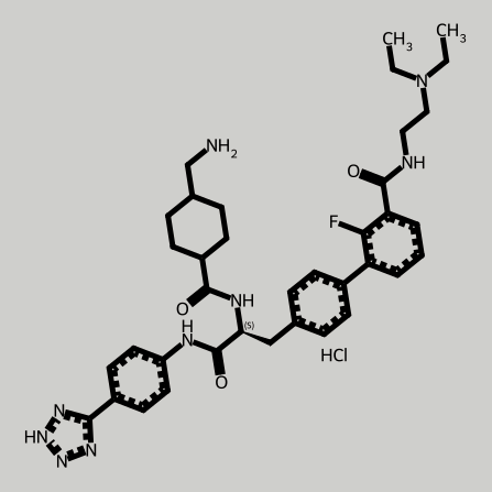 CCN(CC)CCNC(=O)c1cccc(-c2ccc(C[C@H](NC(=O)C3CCC(CN)CC3)C(=O)Nc3ccc(-c4nn[nH]n4)cc3)cc2)c1F.Cl